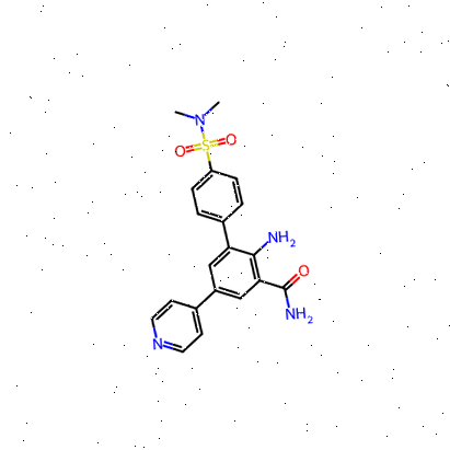 CN(C)S(=O)(=O)c1ccc(-c2cc(-c3ccncc3)cc(C(N)=O)c2N)cc1